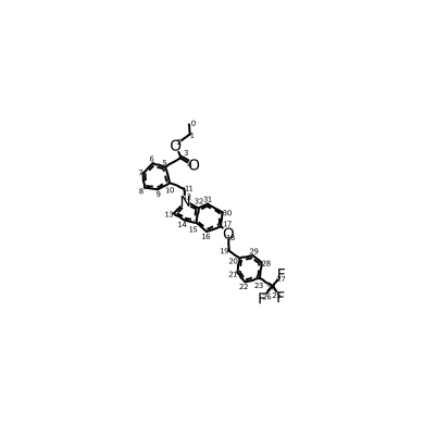 CCOC(=O)c1ccccc1Cn1ccc2cc(OCc3ccc(C(F)(F)F)cc3)ccc21